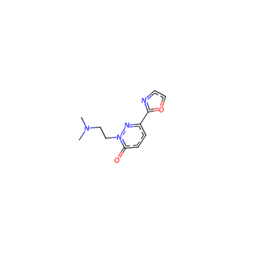 CN(C)CCn1nc(-c2ncco2)ccc1=O